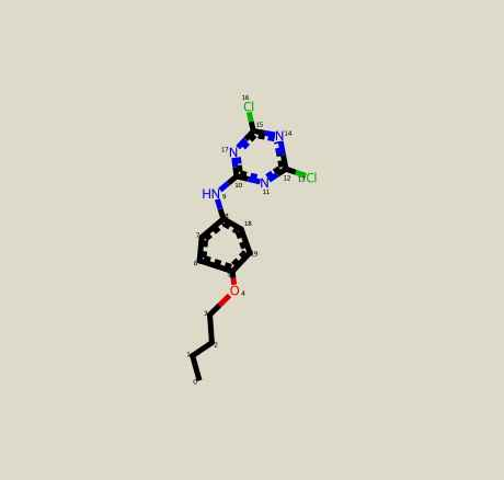 CCCCOc1ccc(Nc2nc(Cl)nc(Cl)n2)cc1